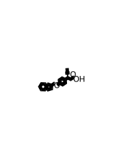 CC#C[C@@H](CC(=O)O)c1ccc(OCC2=CCC3(CCCCC3)C2)cc1